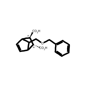 O=C(O)[C@@H]1C2C=CC(C2COCc2ccccc2)[C@H]1C(=O)O